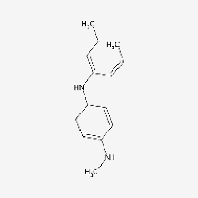 C/C=C\C(=C/CC)NC1C=CC(NC)=CC1